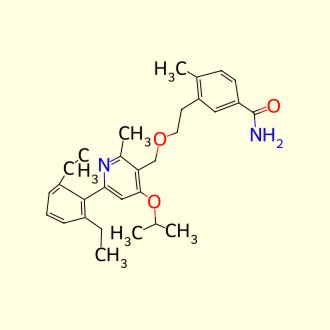 CCc1cccc(CC)c1-c1cc(OC(C)C)c(COCCc2cc(C(N)=O)ccc2C)c(C)n1